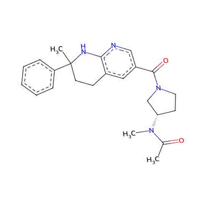 CC(=O)N(C)[C@H]1CCN(C(=O)c2cnc3c(c2)CCC(C)(c2ccccc2)N3)C1